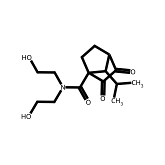 CC(C)C1C2CCC1(C(=O)N(CCO)CCO)C(=O)C2=O